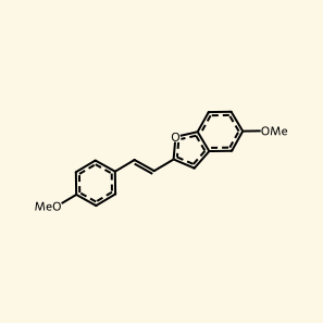 COc1ccc(C=Cc2cc3cc(OC)ccc3o2)cc1